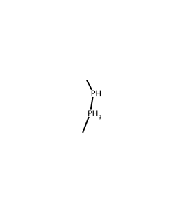 CP[PH3]C